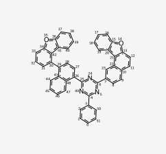 c1ccc(-c2nc(-c3ccc4ccc5oc6ccccc6c5c4c3)nc(-c3ccc(-c4cccc5oc6ccccc6c45)c4ccccc34)n2)cc1